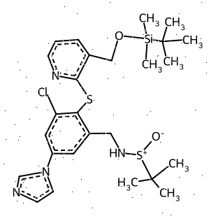 CC(C)(C)[S+]([O-])NCc1cc(-n2ccnc2)cc(Cl)c1Sc1ncccc1CO[Si](C)(C)C(C)(C)C